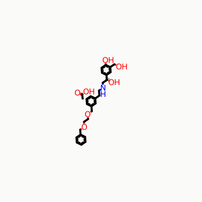 CC(=O)O.OCc1cc([C@@H](O)CNCCc2cccc(COCCOCc3ccccc3)c2)ccc1O